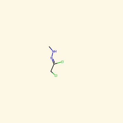 CNN=C(Cl)CCl